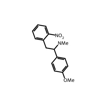 CNC(Cc1ccccc1[N+](=O)[O-])c1ccc(OC)cc1